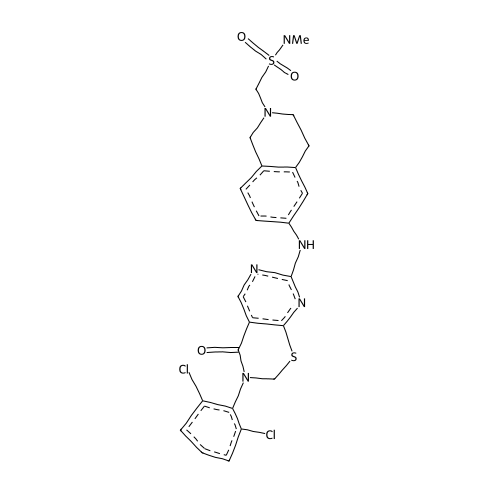 CNS(=O)(=O)CN1CCc2cc(Nc3ncc4c(n3)SCN(c3c(Cl)cccc3Cl)C4=O)ccc2C1